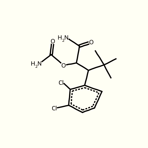 CC(C)(C)C(c1cccc(Cl)c1Cl)C(OC(N)=O)C(N)=O